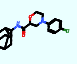 O=C(NC1C2CC3CC(C2)CC1C3)C1CN(c2ccc(Cl)cc2)CCO1